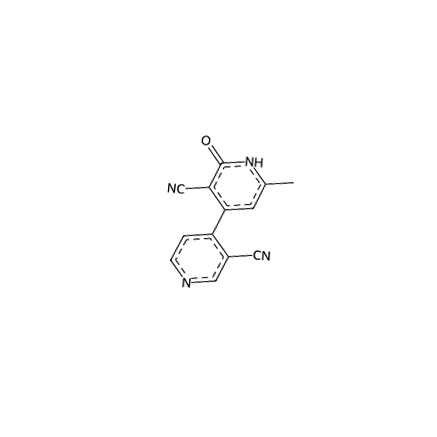 Cc1cc(-c2ccncc2C#N)c(C#N)c(=O)[nH]1